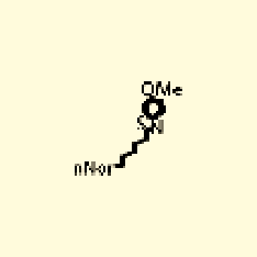 CCCCCCCCCCCCCCc1nc2ccc(OC)cc2s1